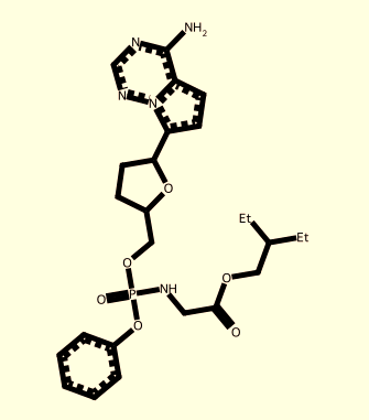 CCC(CC)COC(=O)CNP(=O)(OCC1CCC(c2ccc3c(N)ncnn23)O1)Oc1ccccc1